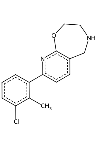 Cc1c(Cl)cccc1-c1ccc2c(n1)OCCNC2